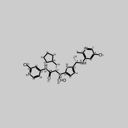 Cc1ncc(Cl)cc1N[C@@H](C)c1ccc(N(C=O)[C@@H](CC2CCCC2)C(=O)Nc2ccnc(Cl)c2)s1